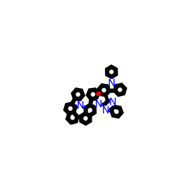 c1ccc(-n2c3ccccc3c3c(-c4nc5ccccc5nc4-n4c5ccccc5c5c(-n6c7ccccc7c7ccc8ccccc8c76)c6ccccc6cc54)cccc32)cc1